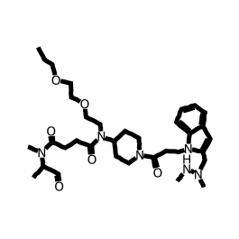 CCCOCCOCCN(C(=O)CCC(=O)N(C)C(C)C=O)C1CCN(C(=O)CCn2c(CN(C)NC)cc3ccccc32)CC1